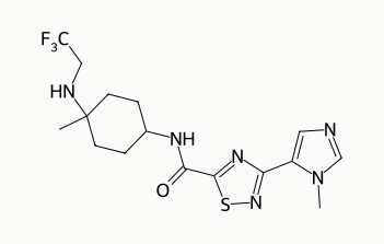 Cn1cncc1-c1nsc(C(=O)NC2CCC(C)(NCC(F)(F)F)CC2)n1